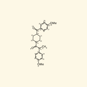 COc1ccc(N(C)C(=O)N2CCC(C(=O)c3ccc(OC)nc3)CC2)cc1